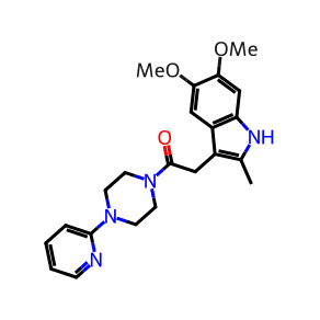 COc1cc2[nH]c(C)c(CC(=O)N3CCN(c4ccccn4)CC3)c2cc1OC